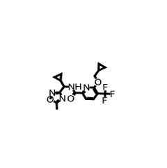 Cc1nc(C(NC(=O)c2ccc(C(F)(F)F)c(OCC3CC3)n2)C2CC2)no1